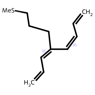 C=C/C=C\C(=C/C=C)CCCSC